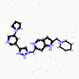 c1ccn(-c2cncc(-c3cn(Cc4cc5[nH]c(CN6CCCCC6)cc5cn4)nn3)c2)c1